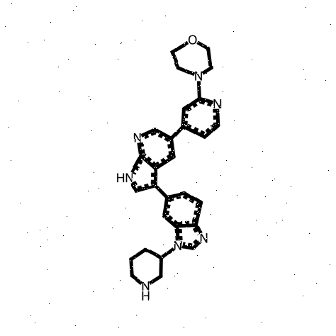 c1cc(-c2cnc3[nH]cc(-c4ccc5ncn(C6CCCNC6)c5c4)c3c2)cc(N2CCOCC2)n1